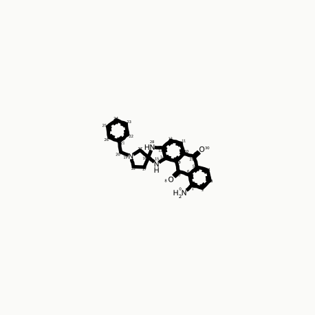 Nc1cccc2c1C(=O)c1c(ccc3c1NC1(CCN(Cc4ccccc4)C1)N3)C2=O